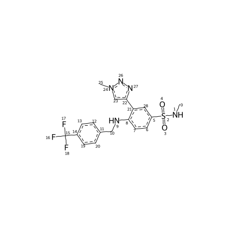 CNS(=O)(=O)c1ccc(NCc2ccc(C(F)(F)F)cc2)c(-c2cn(C)nn2)c1